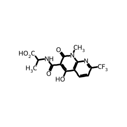 CC(NC(=O)c1c(O)c2ccc(C(F)(F)F)nc2n(C)c1=O)C(=O)O